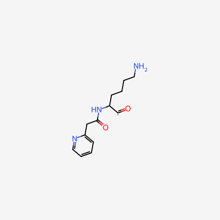 NCCCCC([C]=O)NC(=O)Cc1ccccn1